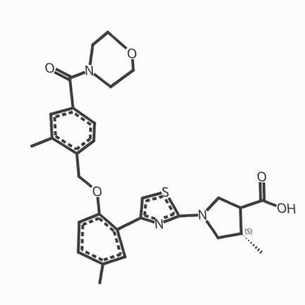 Cc1ccc(OCc2ccc(C(=O)N3CCOCC3)cc2C)c(-c2csc(N3CC(C(=O)O)[C@H](C)C3)n2)c1